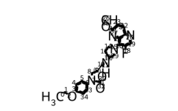 CCOc1ccc(N2C[C@@H](CN[C@H]3CCN(c4c(F)cnc5ccc(OC)nc45)C3)OC2=O)cc1